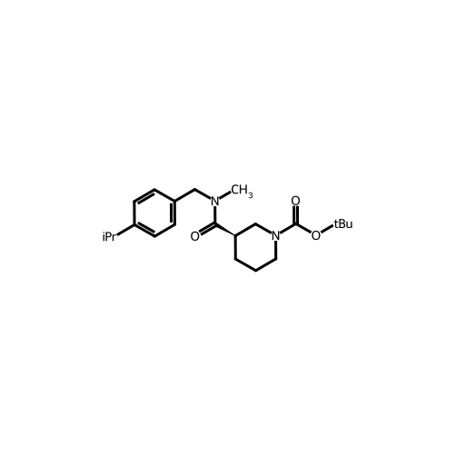 CC(C)c1ccc(CN(C)C(=O)[C@@H]2CCCN(C(=O)OC(C)(C)C)C2)cc1